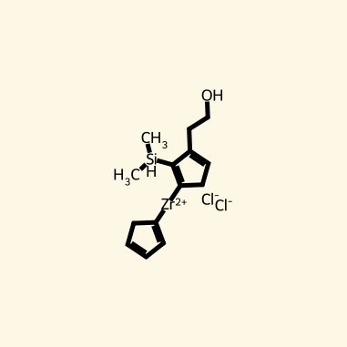 C[SiH](C)C1=[C]([Zr+2][C]2=CC=CC2)CC=C1CCO.[Cl-].[Cl-]